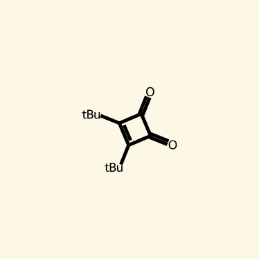 CC(C)(C)c1c(C(C)(C)C)c(=O)c1=O